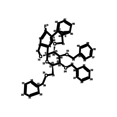 Fc1cc2c(cc1CCl)[C@]1(OC2)O[C@H](COCc2ccccc2)[C@H](OCc2ccccc2)[C@H](OCc2ccccc2)[C@H]1OCc1ccccc1